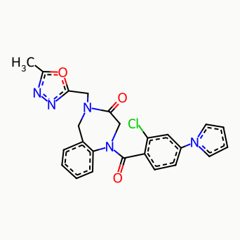 Cc1nnc(CN2Cc3ccccc3N(C(=O)c3ccc(-n4cccc4)cc3Cl)CC2=O)o1